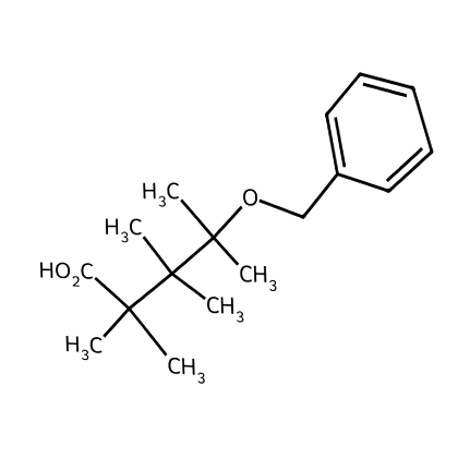 CC(C)(OCc1ccccc1)C(C)(C)C(C)(C)C(=O)O